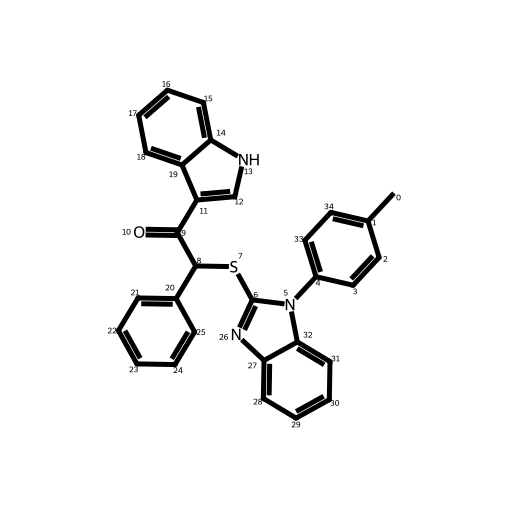 Cc1ccc(-n2c(SC(C(=O)c3c[nH]c4ccccc34)c3ccccc3)nc3ccccc32)cc1